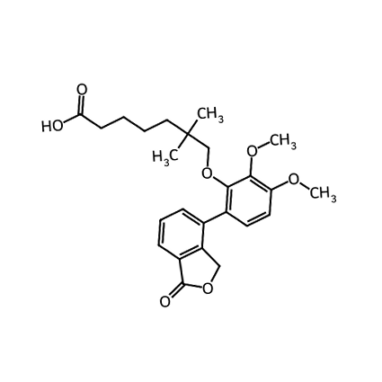 COc1ccc(-c2cccc3c2COC3=O)c(OCC(C)(C)CCCCC(=O)O)c1OC